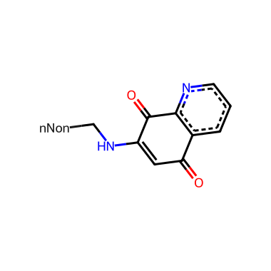 CCCCCCCCCCNC1=CC(=O)c2cccnc2C1=O